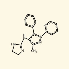 Cc1nn(-c2ccccc2)c(-c2ccccc2)c1NC1=NCCN1